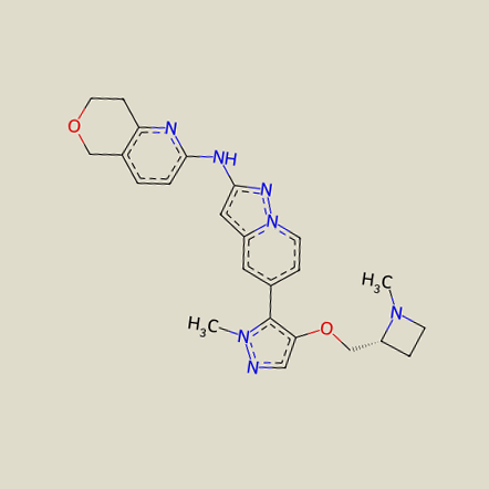 CN1CC[C@@H]1COc1cnn(C)c1-c1ccn2nc(Nc3ccc4c(n3)CCOC4)cc2c1